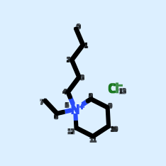 CCCCC[N+]1(CC)CCCCC1.[Cl-]